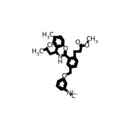 [C-]#[N+]c1cccc(OCc2ccc(CCC(=O)OC)c(C(=O)NC(CC(C)C)c3cccc(C)c3)c2)c1